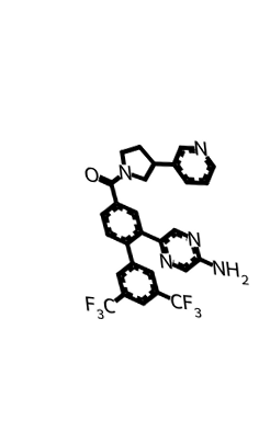 Nc1cnc(-c2cc(C(=O)N3CCC(c4cccnc4)C3)ccc2-c2cc(C(F)(F)F)cc(C(F)(F)F)c2)cn1